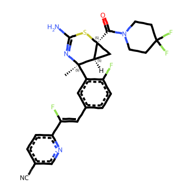 C[C@]1(c2cc(C=C(F)c3ccc(C#N)cn3)ccc2F)N=C(N)S[C@@]2(C(=O)N3CCC(F)(F)CC3)C[C@H]21